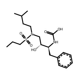 CCCS(=O)(=O)N(CCC(C)C)C[C@@H](O)[C@H](Cc1ccccc1)NC(=O)O